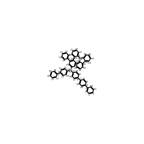 c1ccc(-c2ccc(-c3ccc(N(c4ccc(-c5ccccc5)cc4)c4ccc(-c5ccccc5-n5c6ccccc6c6ccccc65)c(-c5ccccc5)c4)cc3)cc2)cc1